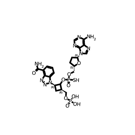 NC(=O)c1cccc2c1nnn2[C@@H]1C[C@H](COP(=O)(O)O)C1OP(=O)(S)OC[C@@H]1CC[C@H](n2cnc3c(N)ncnc32)O1